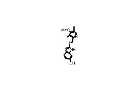 COc1c(C)cnc(CSc2nc3ncc(O)cc3[nH]2)c1C